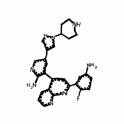 Nc1ccc(F)c(-c2cc(-c3cc(-c4cnn(C5CCNCC5)c4)cnc3N)c3cccnc3n2)c1